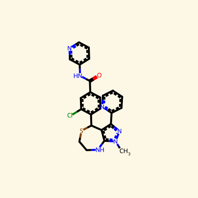 Cn1nc(-c2ccccn2)c2c1NCCSC2c1ccc(C(=O)Nc2cccnc2)cc1Cl